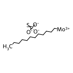 CCCCCCCCCCC[CH2][Mo+3].[O-]P([O-])([O-])=S